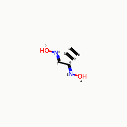 C=C.C=C.ON=CC=NO